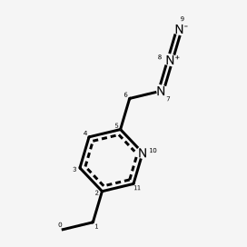 CCc1ccc(CN=[N+]=[N-])nc1